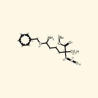 CC(C)(C)OC(=O)C(CCCC(N)OCc1ccccc1)(N=C=O)C(=O)O